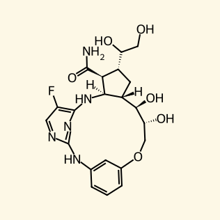 NC(=O)[C@@H]1[C@@H]2Nc3nc(ncc3F)Nc3cccc(c3)OC[C@@H](O)[C@H](O)[C@H]2C[C@H]1C(O)CO